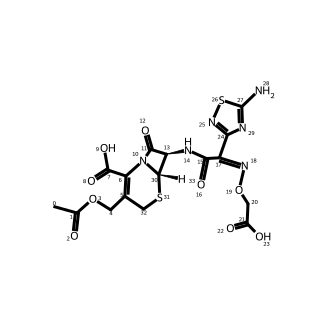 CC(=O)OCC1=C(C(=O)O)N2C(=O)[C@@H](NC(=O)/C(=N\OCC(=O)O)c3nsc(N)n3)[C@@H]2SC1